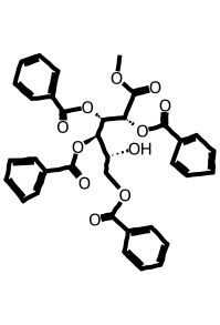 COC(=O)[C@H](OC(=O)c1ccccc1)[C@@H](OC(=O)c1ccccc1)[C@H](OC(=O)c1ccccc1)[C@H](O)COC(=O)c1ccccc1